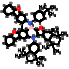 CC(C)(C)c1ccc(N2B3c4oc5cc6c(cc5c4N(c4ccc5c(c4)C(C)(C)CCC5(C)C)c4cc5c(oc7ccccc75)c(c43)-c3cc4c(cc32)oc2ccccc24)C(C)(C)CCC6(C)C)cc1